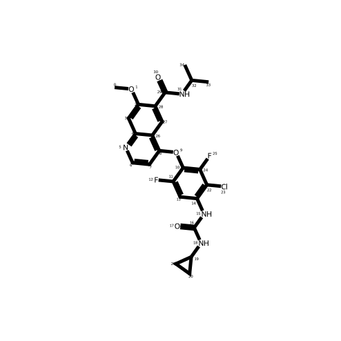 COc1cc2nccc(Oc3c(F)cc(NC(=O)NC4CC4)c(Cl)c3F)c2cc1C(=O)NC(C)C